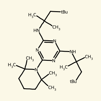 CC(C)(C)CC(C)(C)Nc1nc(NC(C)(C)CC(C)(C)C)nc(N2C(C)(C)CCCC2(C)C)n1